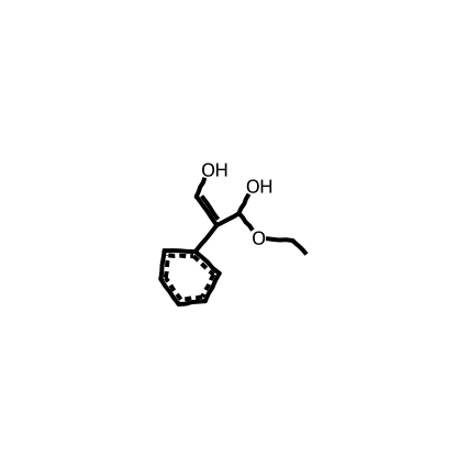 CCOC(O)/C(=C\O)c1ccccc1